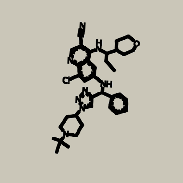 CCC(Nc1c(C#N)cnc2c(Cl)cc(NC(c3ccccc3)c3cn(C4CCN(C(C)(C)C)CC4)nn3)cc12)C1CCOCC1